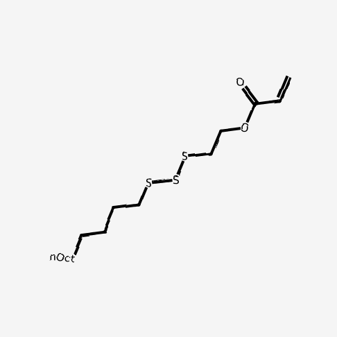 C=CC(=O)OCCSSSCCCCCCCCCCCC